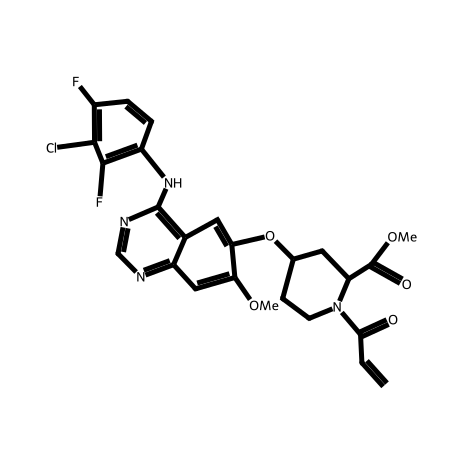 C=CC(=O)N1CCC(Oc2cc3c(Nc4ccc(F)c(Cl)c4F)ncnc3cc2OC)CC1C(=O)OC